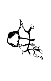 CCC(CC)(C1(C)C(=O)N(C)c2ccccc21)C(F)(F)P(=O)(O)O